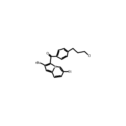 CCCCc1cc2ccc(CC)cn2c1C(=O)c1ccc(CCCCl)cc1